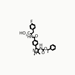 Cc1c(NC(=O)O[C@H](C)c2ccccc2)c(-c2ccc(C(=O)NC(Cc3ccc(F)cc3)C(=O)O)cc2)nn1C